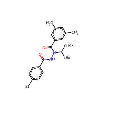 CCCCCCC(N(NC(=O)c1ccc(CC)cc1)C(=O)c1cc(C)cc(C)c1)C(C)(C)C